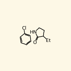 CCC1CCNC1=O.Clc1ccccc1